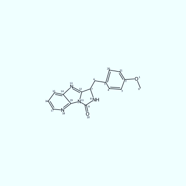 COc1ccc(CC2NC(=O)n3c2nc2cccnc23)cc1